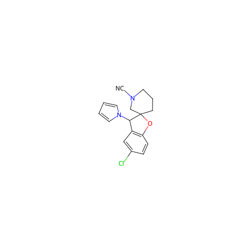 N#CN1CCCC2(C1)Oc1ccc(Cl)cc1C2n1cccc1